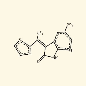 O=C1Nc2ncc([N+](=O)[O-])cc2C1=C(c1cccs1)C(F)(F)F